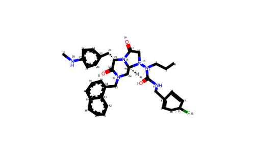 CCCN(C(=O)NCC1=CCC(F)C=C1)N1CC(=O)N2[C@@H](Cc3ccc(NC)cc3)C(=O)N(Cc3cccc4ccccc34)C[C@@H]21